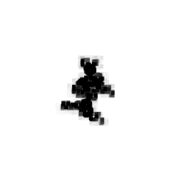 COc1cc(C(=O)NC[C@](O)(c2cc3c(c(-c4ccc(Cl)c(F)c4)n2)OC[C@]3(C)C(N)=O)C2CC2)cc2cc(C(F)(F)F)cnc12